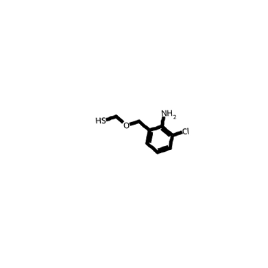 Nc1c(Cl)cccc1COCS